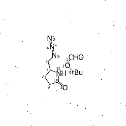 CC(C)(C)OC=O.[N-]=[N+]=NCC1CCC(=O)N1